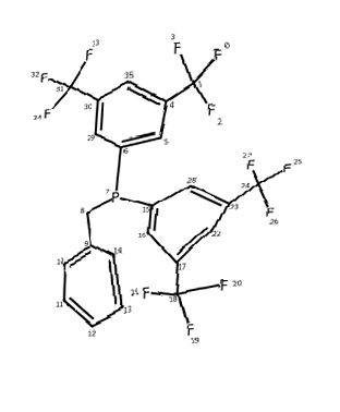 FC(F)(F)c1cc(P(Cc2ccccc2)c2cc(C(F)(F)F)cc(C(F)(F)F)c2)cc(C(F)(F)F)c1